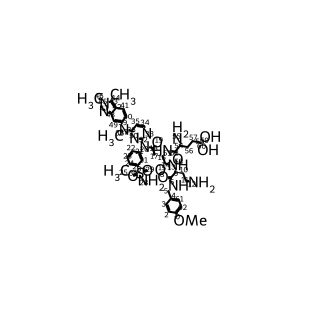 COc1ccc(CNC(=O)[C@H](CCN)NC(=O)[C@H](CC(=O)N(c2ccc(C)c(S(N)(=O)=O)c2)c2nccc(N(C)c3ccc4c(C)n(C)nc4c3)n2)NC(=O)[C@@H](N)CCC(O)O)cc1